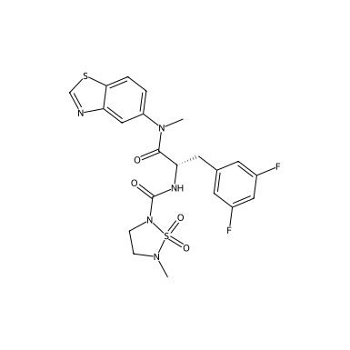 CN(C(=O)[C@H](Cc1cc(F)cc(F)c1)NC(=O)N1CCN(C)S1(=O)=O)c1ccc2scnc2c1